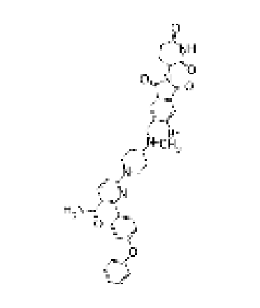 CN(Cc1cc2c(cc1Br)C(=O)N(C1CCC(=O)NC1=O)C2=O)C1CCN(c2ccc(C(N)=O)c(-c3ccc(Oc4ccccc4)cc3)n2)CC1